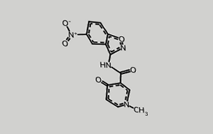 Cn1ccc(=O)c(C(=O)Nc2noc3ccc([N+](=O)[O-])cc23)c1